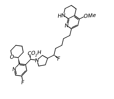 COc1cc(CCCC[C@@H](F)C2CCN([C@H](C(=O)O)c3cc(F)cnc3[C@@H]3CCCCO3)C2)nc2c1CCCN2